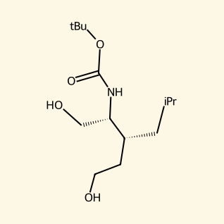 CC(C)C[C@H](CCO)[C@H](CO)NC(=O)OC(C)(C)C